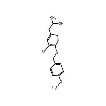 COc1ccc(COc2ccc(CC(C)O)cc2Cl)cc1